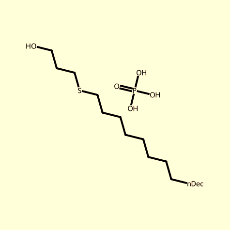 CCCCCCCCCCCCCCCCCCSCCCO.O=P(O)(O)O